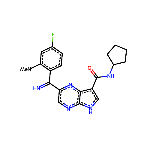 CNc1cc(F)ccc1C(=N)c1cnc2[nH]cc(C(=O)NC3CCCC3)c2n1